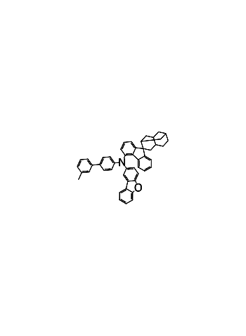 Cc1cccc(-c2ccc(N(c3ccc4oc5ccccc5c4c3)c3cccc4c3-c3ccccc3C43CC4CCC5CC4CC3C5)cc2)c1